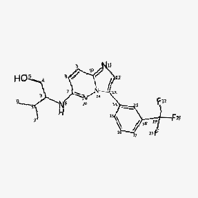 CC(C)C(CO)Nc1ccc2ncc(-c3cccc(C(F)(F)F)c3)n2n1